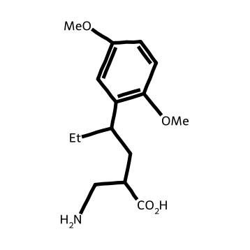 CCC(CC(CN)C(=O)O)c1cc(OC)ccc1OC